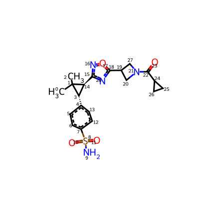 CC1(C)[C@@H](c2ccc(S(N)(=O)=O)cc2)[C@@H]1c1noc(C2CN(C(=O)C3CC3)C2)n1